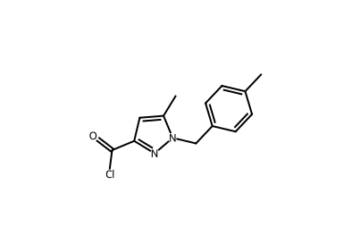 Cc1ccc(Cn2nc(C(=O)Cl)cc2C)cc1